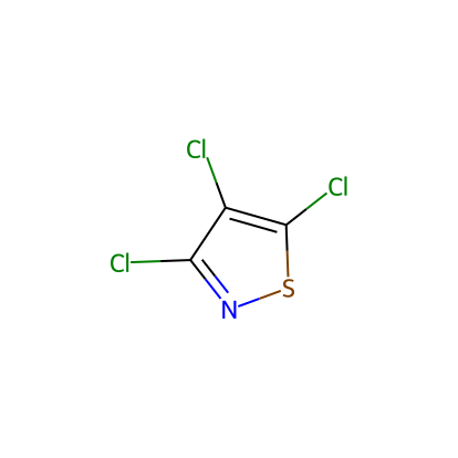 Clc1nsc(Cl)c1Cl